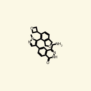 Cn1ncc(-c2ccc3c(=O)[nH]nc(CN)c3c2)c1-c1c(C2COC2)ccc2c1COC2